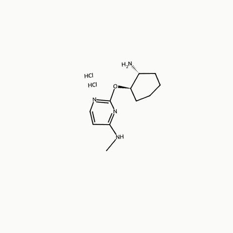 CNc1ccnc(O[C@@H]2CCCC[C@H]2N)n1.Cl.Cl